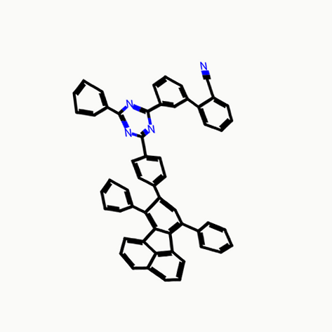 N#Cc1ccccc1-c1cccc(-c2nc(-c3ccccc3)nc(-c3ccc(-c4cc(-c5ccccc5)c5c(c4-c4ccccc4)-c4cccc6cccc-5c46)cc3)n2)c1